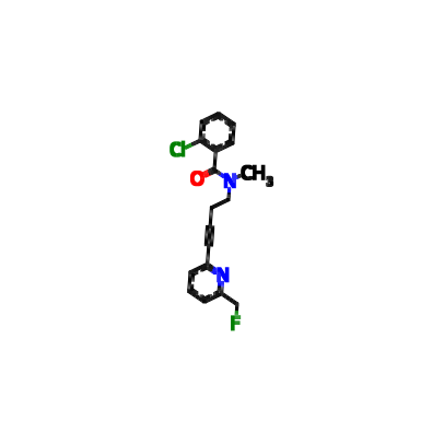 CN(CCC#Cc1cccc(CF)n1)C(=O)c1ccccc1Cl